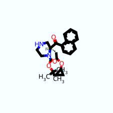 CC(C)(C)OC(=O)N1CCNC[C@@]1(CCOC1CC1)C(=O)c1cccc2ccccc12